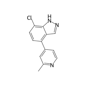 Cc1cc(-c2ccc(Cl)c3[nH]ncc23)ccn1